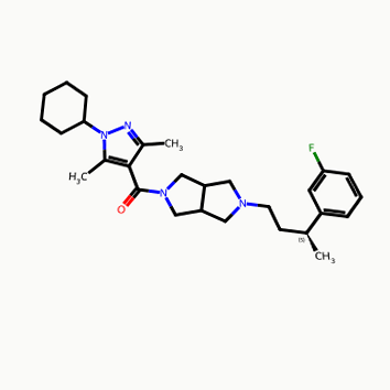 Cc1nn(C2CCCCC2)c(C)c1C(=O)N1CC2CN(CC[C@H](C)c3cccc(F)c3)CC2C1